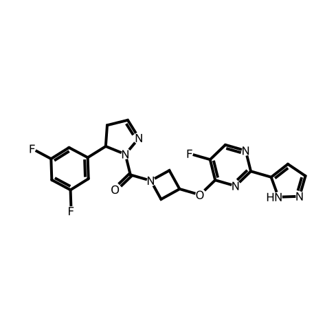 O=C(N1CC(Oc2nc(-c3ccn[nH]3)ncc2F)C1)N1N=CCC1c1cc(F)cc(F)c1